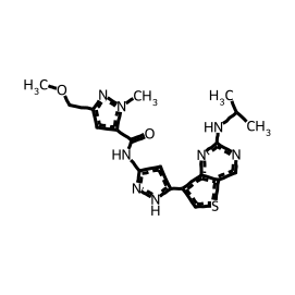 COCc1cc(C(=O)Nc2cc(-c3csc4cnc(NC(C)C)nc34)[nH]n2)n(C)n1